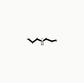 CC[C]NCCC